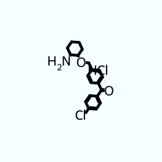 Cl.NC1CCCCC1OCc1ccc(C(=O)c2ccc(Cl)cc2)cc1